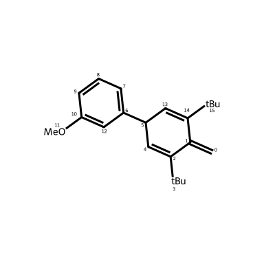 C=C1C(C(C)(C)C)=CC(c2cccc(OC)c2)C=C1C(C)(C)C